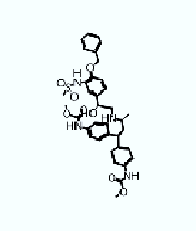 COC(=O)Nc1ccc(C(C[C@H](C)NC[C@H](O)c2ccc(OCc3ccccc3)c(NS(C)(=O)=O)c2)c2ccc(NC(=O)OC)cc2)cc1